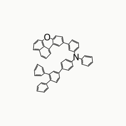 c1ccc(-c2ccc(-c3ccc(N(c4ccccc4)c4cccc(-c5ccc6c(c5)-c5cccc7cccc(c57)O6)c4)cc3)cc2-c2ccccc2)cc1